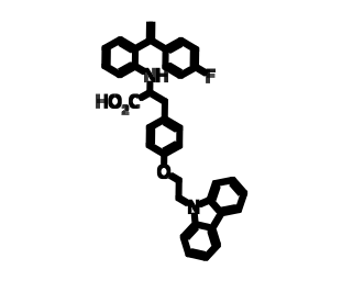 C=C(c1ccc(F)cc1)c1ccccc1NC(Cc1ccc(OCCn2c3ccccc3c3ccccc32)cc1)C(=O)O